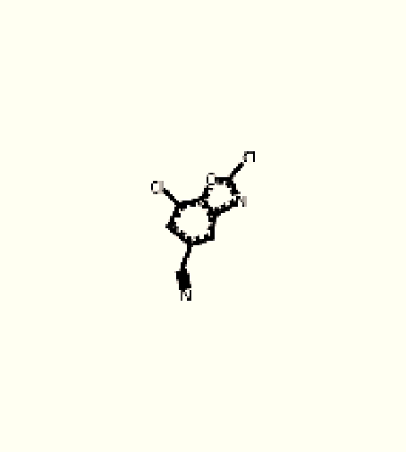 N#Cc1cc(Cl)c2oc(Cl)nc2c1